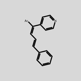 CC(=O)C(=CC=Cc1ccccc1)c1ccncc1